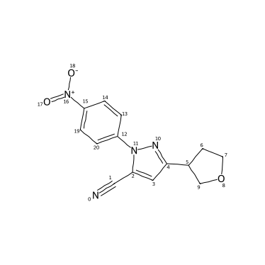 N#Cc1cc(C2CCOC2)nn1-c1ccc([N+](=O)[O-])cc1